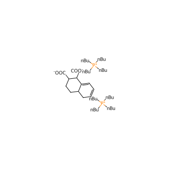 CCCC[P+](CCCC)(CCCC)CCCC.CCCC[P+](CCCC)(CCCC)CCCC.O=C([O-])C1CCC2CC=CC=C2C1C(=O)[O-]